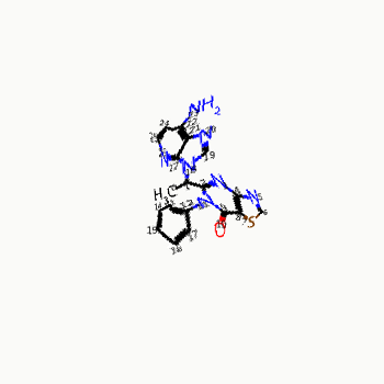 CC(c1nc2ncsc2c(=O)n1-c1ccccc1)n1cnc2c(N)ccnc21